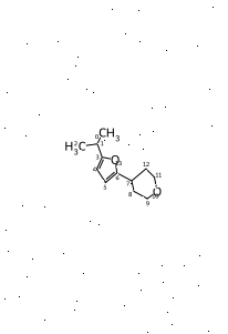 CC(C)c1ccc(C2CCOCC2)o1